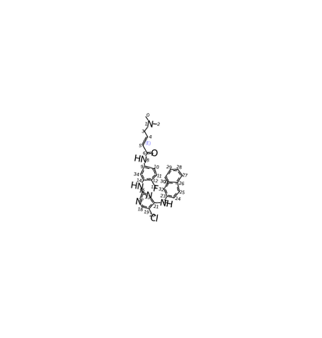 CN(C)C/C=C/C(=O)Nc1ccc(F)c(Nc2ncc(Cl)c(Nc3ccc4ccccc4c3)n2)c1